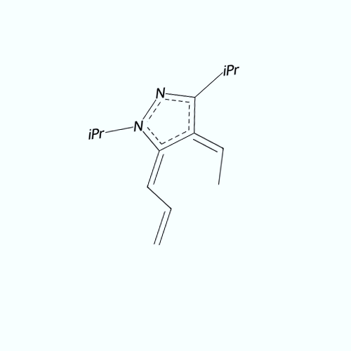 C=C/C=c1\c(=C/C)c(C(C)C)nn1C(C)C